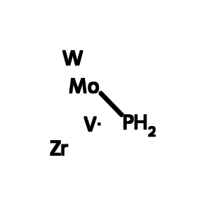 [PH2][Mo].[V].[W].[Zr]